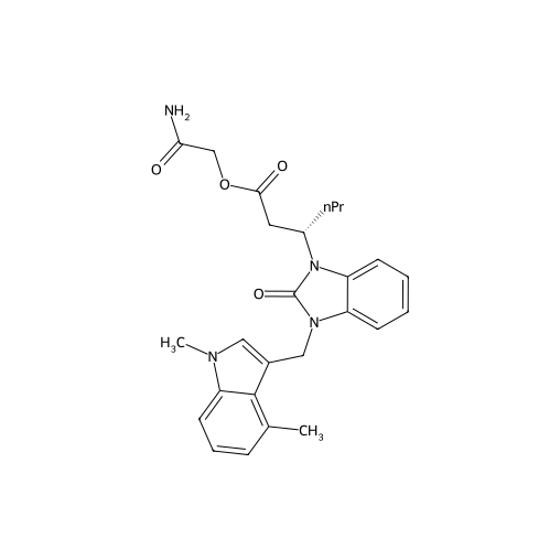 CCC[C@@H](CC(=O)OCC(N)=O)n1c(=O)n(Cc2cn(C)c3cccc(C)c23)c2ccccc21